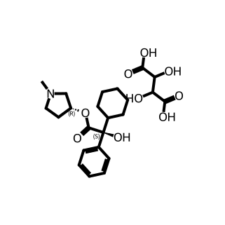 CN1CC[C@@H](OC(=O)[C@@](O)(c2ccccc2)C2CCCCC2)C1.O=C(O)C(O)C(O)C(=O)O